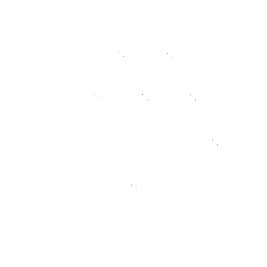 CCc1nc(Nc2ncc(C(=O)Nc3c(C)cccc3Cl)o2)nc(N2CCCCC2)n1